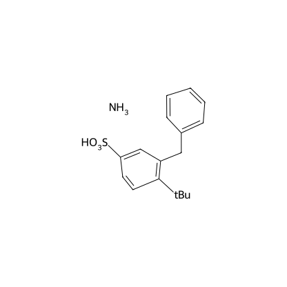 CC(C)(C)c1ccc(S(=O)(=O)O)cc1Cc1ccccc1.N